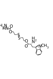 Cn1cc(C[C@@H](N)C(=O)OCCSSCCOC(=O)NN)c2ccccc21